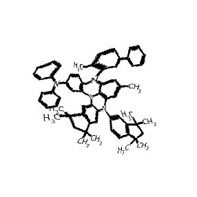 Cc1cc2c3c(c1)N(c1cc(-c4ccccc4)ccc1C)c1ccc(N(c4ccccc4)c4ccccc4)cc1B3c1cc3c(cc1N2c1ccc2c(c1)C(C)(C)CC2(C)C)C(C)(C)CC3(C)C